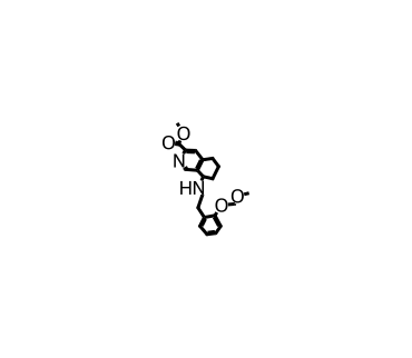 COCOc1ccccc1CCNC1CCCc2cc(C(=O)OC)ncc21